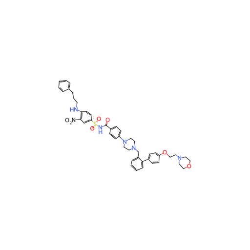 O=C(NS(=O)(=O)c1ccc(NCCCc2ccccc2)c([N+](=O)[O-])c1)c1ccc(N2CCN(Cc3ccccc3-c3ccc(OCCN4CCOCC4)cc3)CC2)cc1